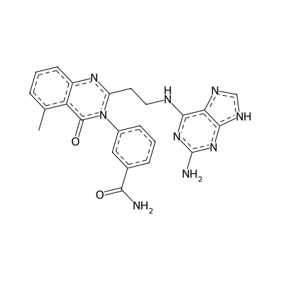 Cc1cccc2nc(CCNc3nc(N)nc4[nH]cnc34)n(-c3cccc(C(N)=O)c3)c(=O)c12